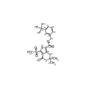 CC1(C)CC(=O)c2c(S(C)(=O)=O)sc(C(=O)OCc3cccc(C(F)(F)F)c3)c2C1